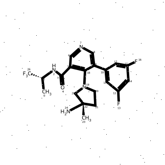 C[C@@H](NC(=O)c1cncc(-c2cc(F)cc(F)c2)c1N1CC[C@](C)(N)C1)C(F)(F)F